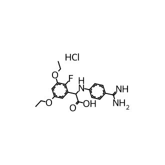 CCOc1cc(OCC)c(F)c(C(Nc2ccc(C(=N)N)cc2)C(=O)O)c1.Cl